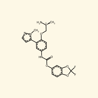 C[C@H](N)COc1ccc(NC(=O)Oc2ccc3c(c2)OC(F)(F)O3)cc1-c1ccnn1C